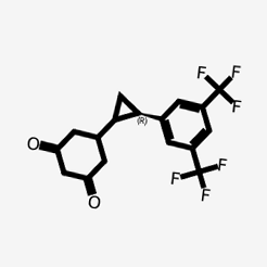 O=C1CC(=O)CC(C2C[C@H]2c2cc(C(F)(F)F)cc(C(F)(F)F)c2)C1